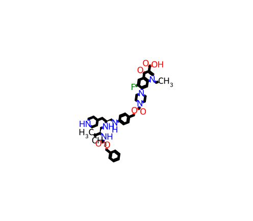 CCn1cc(C(=O)O)c(=O)c2cc(F)c(N3CCN(C(=O)OCc4ccc(NC[C@H](CC5CCNCC5)NC[C@@H](NC(=O)OCc5ccccc5)C(C)C)cc4)CC3)cc21